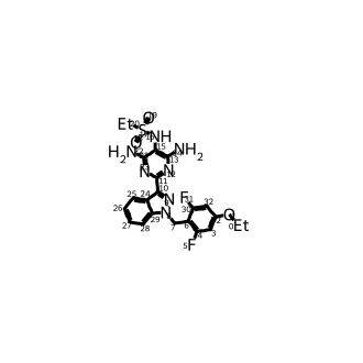 CCOc1cc(F)c(Cn2nc(-c3nc(N)c(NS(=O)(=O)CC)c(N)n3)c3ccccc32)c(F)c1